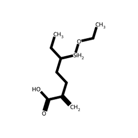 C=C(CCC(CC)[SiH2]OCC)C(=O)O